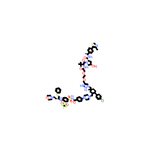 Cc1ncsc1-c1ccc([C@H](C)NC(=O)[C@@H]2C[C@@H](O)CN2C(=O)[C@@H](NC(=O)COCCOCC2=CN(CC3(C)CCC(c4ccc(Cl)cc4)=C(CN4CCN(c5ccc(C(=O)NS(=O)(=O)c6ccc(N[C@H](CCN7CCOCC7)CSc7ccccc7)c(S(=O)(=O)C(F)(F)F)c6)cc5)CC4)C3)NN2)C(C)(C)C)cc1